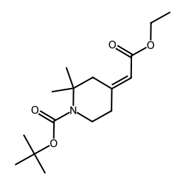 CCOC(=O)/C=C1/CCN(C(=O)OC(C)(C)C)C(C)(C)C1